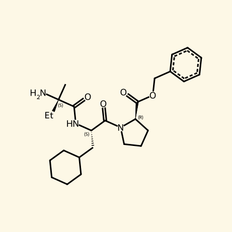 CC[C@](C)(N)C(=O)N[C@@H](CC1CCCCC1)C(=O)N1CCC[C@@H]1C(=O)OCc1ccccc1